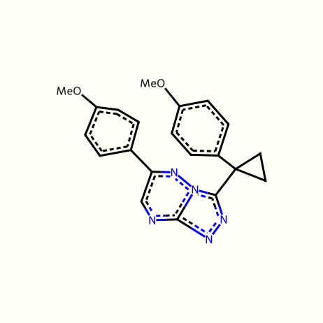 COc1ccc(-c2cnc3nnc(C4(c5ccc(OC)cc5)CC4)n3n2)cc1